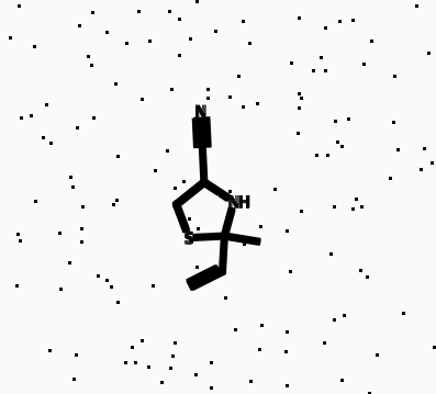 C=CC1(C)NC(C#N)CS1